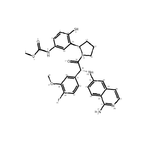 COC(=O)Nc1ccc(S)c([C@H]2CCCN2C(=O)[C@H](Nc2ccc3c(N)nccc3c2)c2ccc(F)c(OC)c2)c1